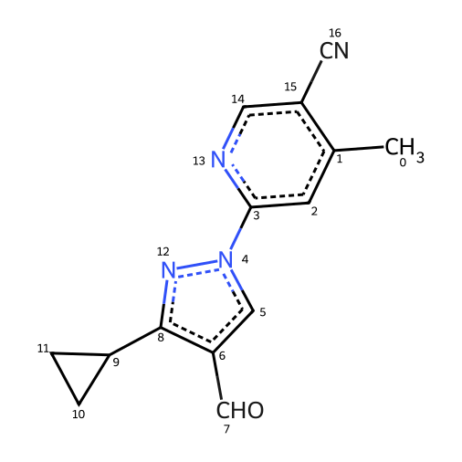 Cc1cc(-n2cc(C=O)c(C3CC3)n2)ncc1C#N